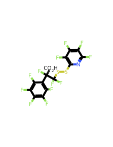 O=C(O)C(F)(c1c(F)c(F)c(F)c(F)c1F)C(F)(F)SSc1nc(F)c(F)c(F)c1F